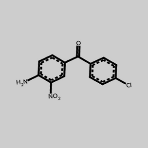 Nc1ccc(C(=O)c2ccc(Cl)cc2)cc1[N+](=O)[O-]